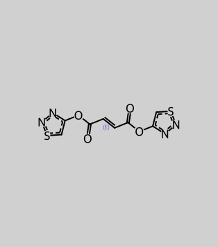 O=C(/C=C/C(=O)Oc1csnn1)Oc1csnn1